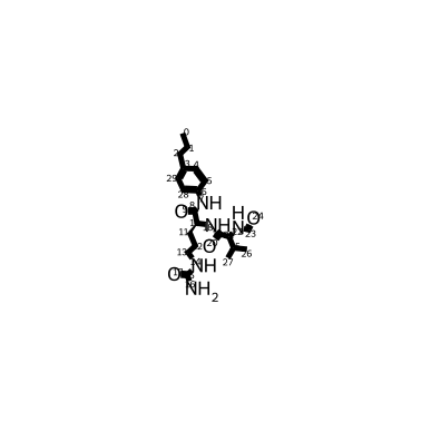 CCCc1ccc(NC(=O)[C@H](CCCNC(N)=O)NC(=O)C(NC=O)C(C)C)cc1